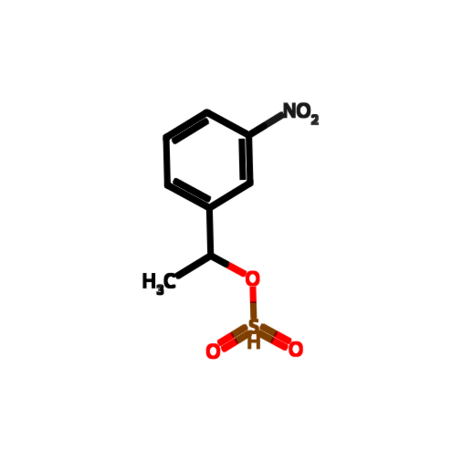 CC(O[SH](=O)=O)c1cccc([N+](=O)[O-])c1